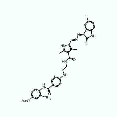 COc1ccc(NC(=O)c2ccc(NCCNC(=O)c3c(C)[nH]c(/C=N/N=C4\C(=O)Nc5ccc(F)cc54)c3C)nc2)c(N)c1